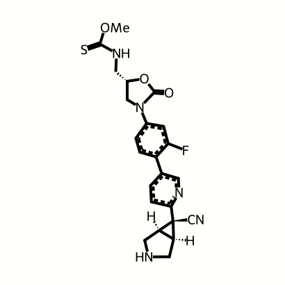 COC(=S)NC[C@H]1CN(c2ccc(-c3ccc([C@@]4(C#N)[C@@H]5CNC[C@@H]54)nc3)c(F)c2)C(=O)O1